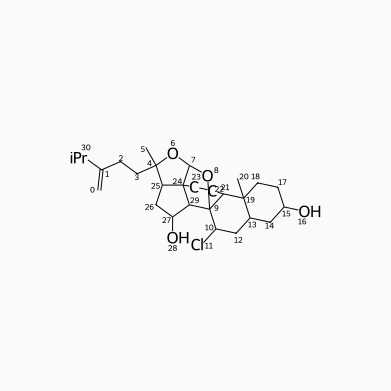 C=C(CCC1(C)OC2OC34C(Cl)CC5CC(O)CCC5(C)C3CCC23C1CC(O)C34)C(C)C